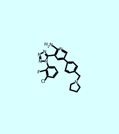 Nc1ncc(-c2ccc(CN3CCCC3)cc2)cc1-c1nnnn1-c1cccc(Cl)c1F